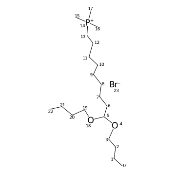 CCCCOC(CCCCCCCC[P+](C)(C)C)OCCCC.[Br-]